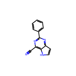 N#Cc1nc(-c2ccccc2)nc2cc[nH]c12